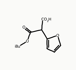 CCC(C)OC(=O)C(C(=O)O)c1ccco1